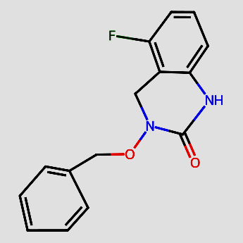 O=C1Nc2cccc(F)c2CN1OCc1ccccc1